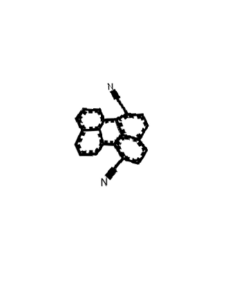 N#Cc1ccc2ccc(C#N)c3c4cccc5cccc(c1c23)c54